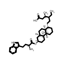 CCC(CC[C@@H]1CCC[C@H]2[C@H]1CC[C@@H]1C[C@H](OC(=O)[C@@H](N)CCc3c[nH]c4ccccc34)CC[C@@]12C)[C@H](C)CC(=O)O